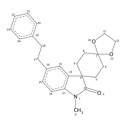 CN1C(=O)C2(CCC3(CC2)OCCO3)c2cc(CCc3ccccc3)ccc21